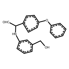 O=CC(Nc1cccc(CO)c1)c1ccc(Oc2ccccc2)cc1